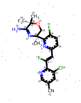 C[C@@]1(c2nc(/C=C(\F)c3ncc(C#N)cc3Cl)ccc2F)CO[C@@](C)(C(F)(F)F)C(N)=N1